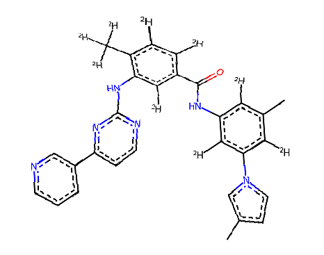 [2H]c1c(C)c([2H])c(-n2ccc(C)c2)c([2H])c1NC(=O)c1c([2H])c([2H])c(C([2H])([2H])[2H])c(Nc2nccc(-c3cccnc3)n2)c1[2H]